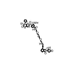 CC[C@@H]1C(=O)N(C)c2cnc(Nc3ccc(C(=O)NCCOCCOCCOCCNCC#Cc4cccc5c4CN(C4CCC(=O)NC4=O)C5=O)cc3OC)nc2N1C1CCCC1